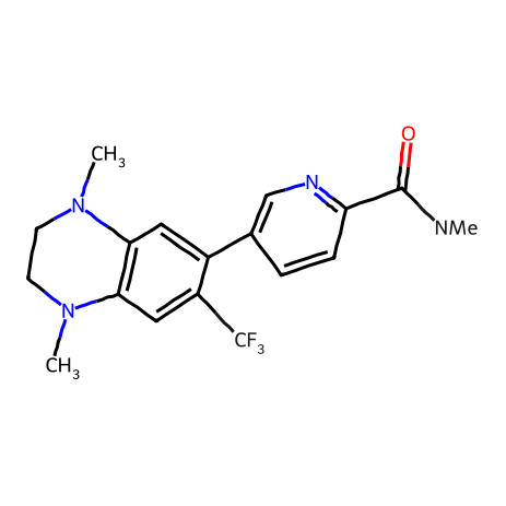 CNC(=O)c1ccc(-c2cc3c(cc2C(F)(F)F)N(C)CCN3C)cn1